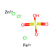 O=S(=O)([O-])O.[Cl-].[Cl-].[Cl-].[Fe+2].[Zn+2]